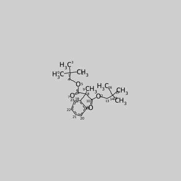 CC(C)(C)COC(=O)C(C)(C(=O)OCC(C)(C)C)c1ccccc1